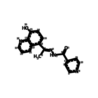 C/C(=N\NC(=O)c1ccncc1)c1ccc(O)c2ncccc12